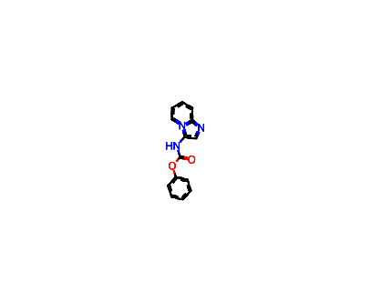 O=C(Nc1cnc2ccccn12)Oc1ccccc1